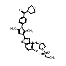 CCS(=O)(=O)N1CC[C@H](Nc2c(Br)cnc3[nH]c(-c4cc(C)n(-c5ccc(C(=O)N6CCOCC6)cc5)c4C)nc23)C1